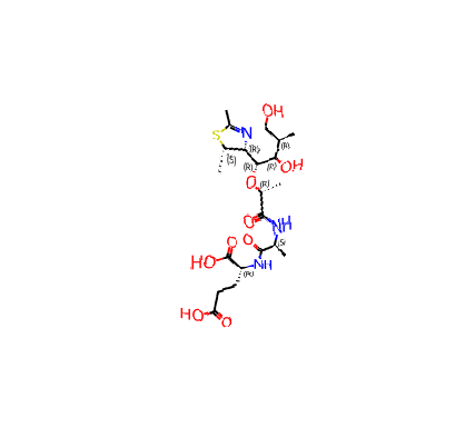 CC1=N[C@H]([C@@H](O[C@H](C)C(=O)N[C@@H](C)C(=O)N[C@H](CCC(=O)O)C(=O)O)[C@H](O)[C@H](C)CO)[C@H](C)S1